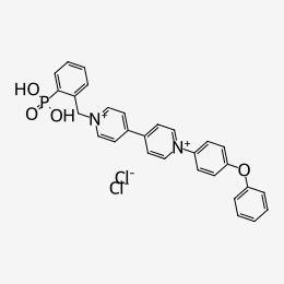 O=P(O)(O)c1ccccc1C[n+]1ccc(-c2cc[n+](-c3ccc(Oc4ccccc4)cc3)cc2)cc1.[Cl-].[Cl-]